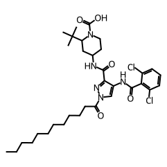 CCCCCCCCCCCC(=O)n1cc(NC(=O)c2c(Cl)cccc2Cl)c(C(=O)NC2CCN(C(=O)O)C(C(C)(C)C)C2)n1